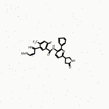 CN/C=C\C(=N)c1cc(C(=O)Nc2ccc(C3CNC(=O)C3)nc2-c2ccccc2)c(F)cc1C(F)(F)F